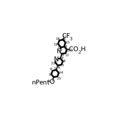 CCCCCOc1ccc(-c2ccc(-c3cc(C(=O)O)c4cc(C(F)(F)F)ccc4n3)nc2)cc1